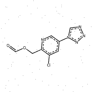 O=COCc1ncc(-n2cnnn2)cc1Cl